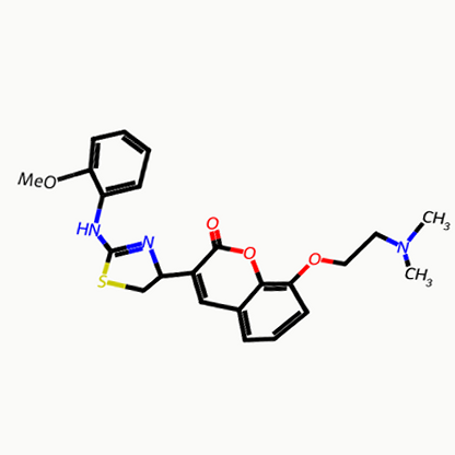 COc1ccccc1NC1=NC(c2cc3cccc(OCCN(C)C)c3oc2=O)CS1